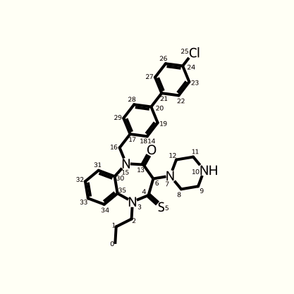 CCCN1C(=S)C(N2CCNCC2)C(=O)N(Cc2ccc(-c3ccc(Cl)cc3)cc2)c2ccccc21